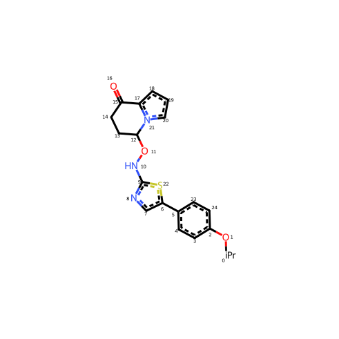 CC(C)Oc1ccc(-c2cnc(NOC3CCC(=O)c4cccn43)s2)cc1